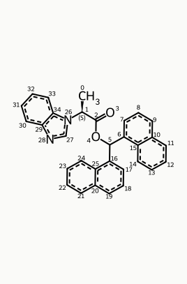 C[C@@H](C(=O)OC(c1cccc2ccccc12)c1cccc2ccccc12)n1cnc2ccccc21